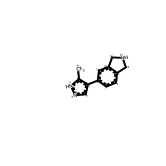 FC(F)(F)c1[nH]ncc1-c1ccc2c(c1)CNC2